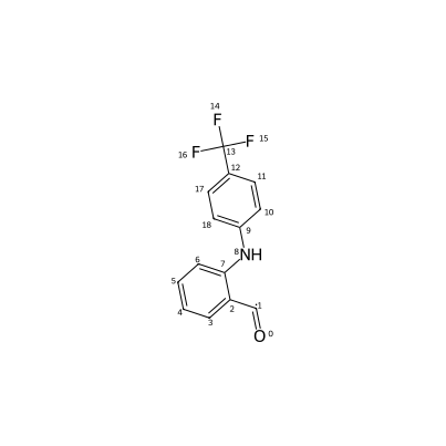 O=[C]c1ccccc1Nc1ccc(C(F)(F)F)cc1